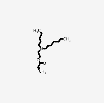 C=CC(=O)OCCN(CCCCC)CCCCCCC